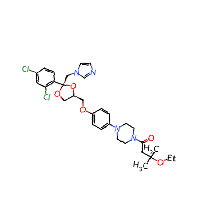 CCOC(C)(C)CC(=O)N1CCN(c2ccc(OC[C@H]3CO[C@](Cn4ccnc4)(c4ccc(Cl)cc4Cl)O3)cc2)CC1